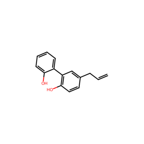 C=CCc1ccc(O)c(-c2ccccc2O)c1